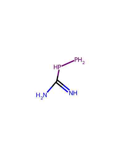 N=C(N)PP